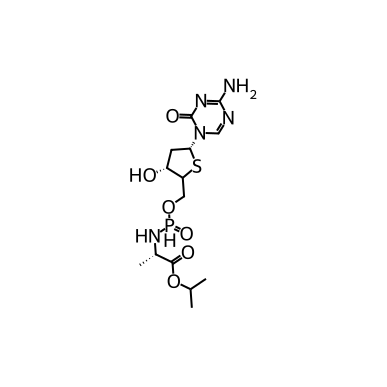 CC(C)OC(=O)[C@H](C)N[PH](=O)OCC1S[C@@H](n2cnc(N)nc2=O)C[C@H]1O